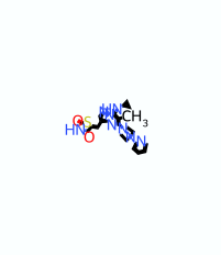 Cc1c(N2CCN(c3ccccn3)CC2)nc2c(/C=C3\SC(=O)NC3=O)cnn2c1NC1CC1